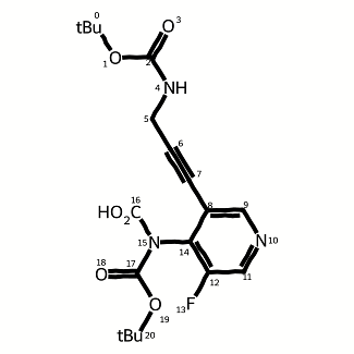 CC(C)(C)OC(=O)NCC#Cc1cncc(F)c1N(C(=O)O)C(=O)OC(C)(C)C